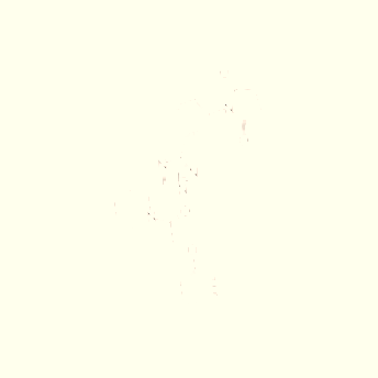 O=C1CCC(=O)N1c1cccc(-c2n[nH]c(C3CCCCN3C(=O)COc3ccccc3)n2)c1